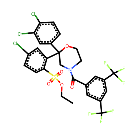 CCOS(=O)(=O)c1ccc(Cl)cc1C1(c2ccc(Cl)c(Cl)c2)CN(C(=O)c2cc(C(F)(F)F)cc(C(F)(F)F)c2)CCO1